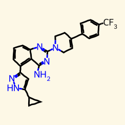 Nc1nc(N2CC=C(c3ccc(C(F)(F)F)cc3)CC2)nc2cccc(-c3cc(C4CC4)[nH]n3)c12